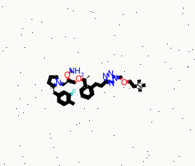 Cc1ccc(C[C@@H]2CCCN2C[C@H](CO[C@H](C)c2ccccc2CCc2nnn(COCC[Si](C)(C)C)n2)ON)cc1F